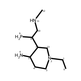 CCN1CCC(N)C(C(P)CNC)C1